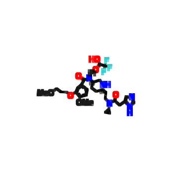 COCCCOc1cc(C(=O)N(C(C)C)[C@@H]2CC[C@H](CCN(C(=O)Cc3cnc[nH]3)C3CC3)NC2)ccc1OC.O=C(O)C(F)(F)F